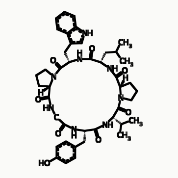 CC(C)C[C@@H]1NC(=O)[C@@H]2CCCN2C(=O)[C@H](C(C)C)NC(=O)[C@H](Cc2ccc(O)cc2)NC(=O)CNC(=O)[C@@H]2CCCN2C(=O)[C@H](Cc2c[nH]c3ccccc23)NC1=O